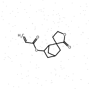 C=CC(=O)OC1CC2CC1C1(CCOC1=O)C2